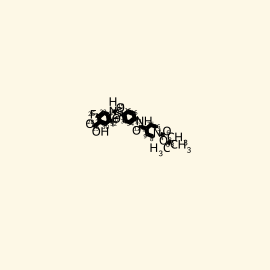 CC(C)(C)OC(=O)N1CCC(C(=O)Nc2ccc(S(=O)(=O)Nc3cc(F)c(C(=O)O)cc3F)cc2)CC1